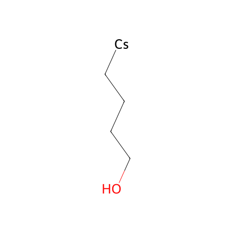 OCCC[CH2][Cs]